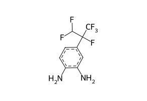 Nc1ccc(C(F)(C(F)F)C(F)(F)F)cc1N